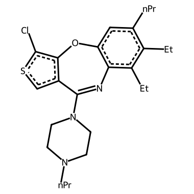 CCCc1cc2c(c(CC)c1CC)N=C(N1CCN(CCC)CC1)c1csc(Cl)c1O2